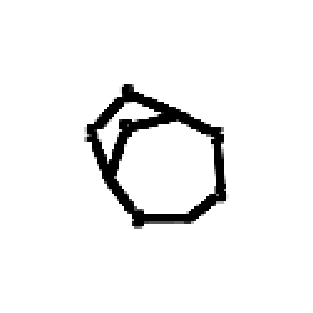 C1SSC2SSC(S1)S2